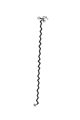 C[Si](Cl)(Cl)CCCCCCCCCCCCCCCCCCCCCCCCCCCCCCCCCCBr